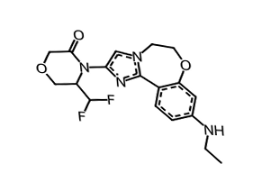 CCNc1ccc2c(c1)OCCn1cc(N3C(=O)COCC3C(F)F)nc1-2